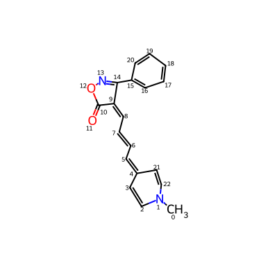 CN1C=CC(=C/C=C/C=C2\C(=O)ON=C2c2ccccc2)C=C1